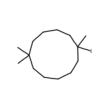 CC1(C)CCCCCC(C)(I)CCCC1